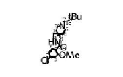 COc1cc(Cl)ccc1C(=O)NCC1(F)CCN(CCC(C)(C)C)CC1